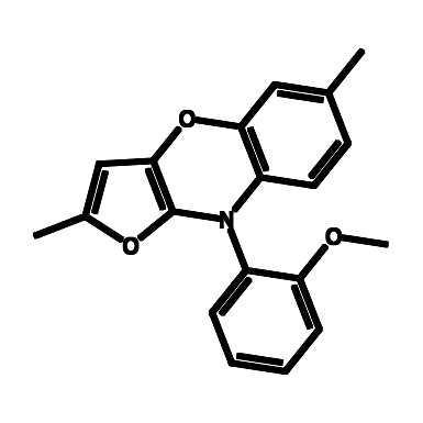 COc1ccccc1N1c2ccc(C)cc2Oc2cc(C)oc21